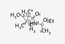 CCOC(C)NC(=O)C1(C)C(C)C1(C)C